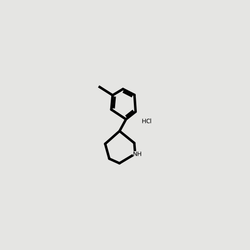 Cc1cccc(C2CCCNC2)c1.Cl